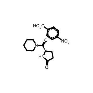 O=C(O)c1ccc([N+](=O)[O-])cc1.O=C1CC[C@H](C(=O)N2CCCCC2)N1